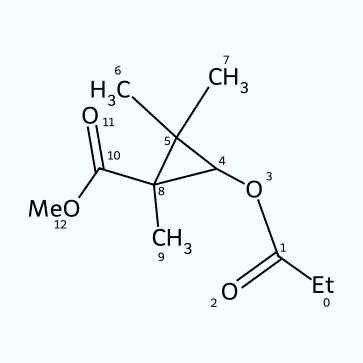 CCC(=O)OC1C(C)(C)C1(C)C(=O)OC